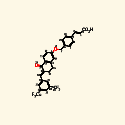 O=C(O)/C=C/c1ccc(COc2ccc3c(c2)CC/C(=C\c2cc(C(F)(F)F)cc(C(F)(F)F)c2)C3=O)cc1